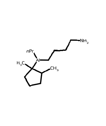 CC[CH2][Al]([CH2]CCCN)[C]1(C)CCCC1C